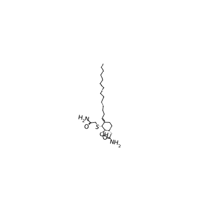 CCCCCCCCCCCCC/C=C1\CC[C@H](CC(N)=O)[C@@H](O)[C@@H]1SCC(N)=O